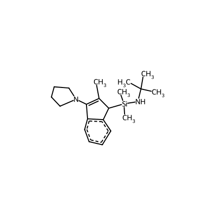 CC1=C(N2CCCC2)c2ccccc2C1[Si](C)(C)NC(C)(C)C